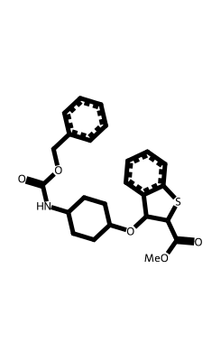 COC(=O)C1Sc2ccccc2C1OC1CCC(NC(=O)OCc2ccccc2)CC1